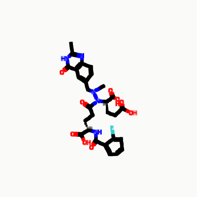 Cc1nc2ccc(CN(C)N(C(=O)CC[C@H](NC(=O)c3ccccc3F)C(=O)O)[C@H](CCC(=O)O)C(=O)O)cc2c(=O)[nH]1